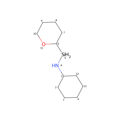 C1CCC(N[SiH2]C2CCCCO2)CC1